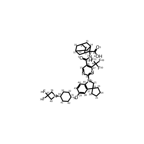 O=C(NC1(C(=O)O)C2CC3CC(C2)CC1C3)c1cnc(N2CC3(CCCC3)c3cc(O[C@H]4CC[C@H](N5CC(F)(F)C5)CC4)ccc32)nc1C(F)(F)F